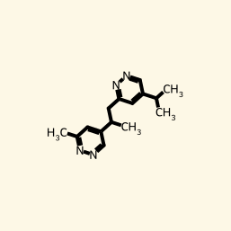 Cc1cc(C(C)Cc2cc(C(C)C)cnn2)cnn1